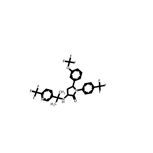 CC(C)(NC1CC(c2cccc(OC(F)(F)F)c2)N(c2ccc(C(F)(F)F)cc2)C1=O)c1ccc(C(F)(F)F)nc1